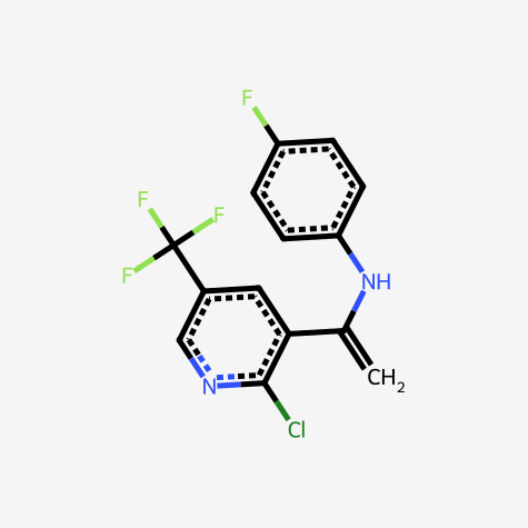 C=C(Nc1ccc(F)cc1)c1cc(C(F)(F)F)cnc1Cl